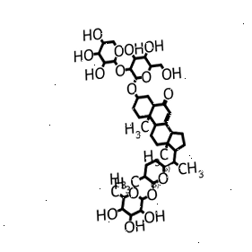 CC1OC(O[C@@H]2O[C@H](C(C)C3CCC4C5=CC(=O)C6CC(OC7OC(CO)C(O)C(O)C7OC7OCC(O)C(O)C7O)CCC6(C)C5CCC43C)CCC2C)C(O)C(O)C1O